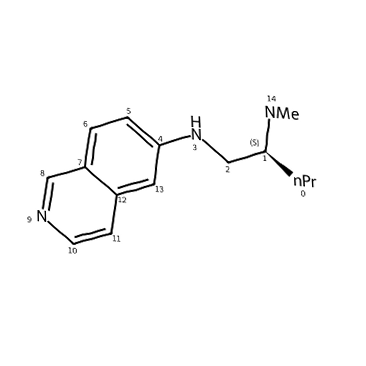 CCC[C@@H](CNc1ccc2cnccc2c1)NC